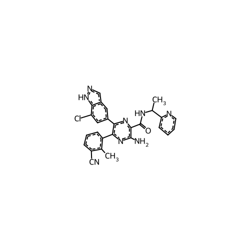 Cc1c(C#N)cccc1-c1nc(N)c(C(=O)NC(C)c2ccccn2)nc1-c1cc(Cl)c2[nH]ncc2c1